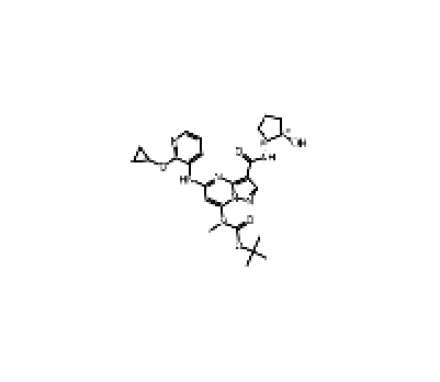 CN(C(=O)OC(C)(C)C)c1cc(Nc2cccnc2OC2CC2)nc2c(C(=O)N[C@@H]3CCC[C@H]3O)cnn12